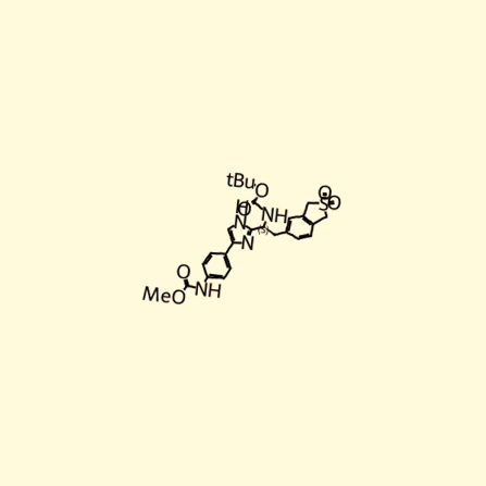 COC(=O)Nc1ccc(-c2c[nH]c([C@H](Cc3ccc4c(c3)CS(=O)(=O)C4)NC(=O)OC(C)(C)C)n2)cc1